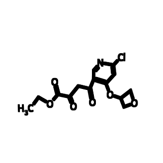 CCOC(=O)C(=O)CC(=O)c1cnc(Cl)cc1OC1COC1